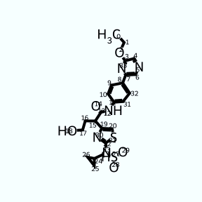 CCOc1cncc(-c2ccc(NC(=O)C(CCO)c3csc(N(C4CC4)[SH](=O)=O)n3)cc2)n1